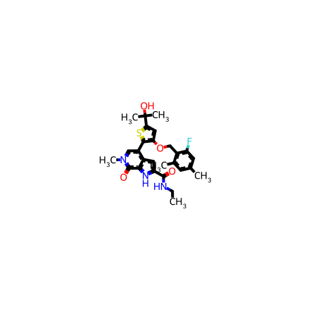 CCNC(=O)c1cc2c(-c3sc(C(C)(C)O)cc3OCc3c(C)cc(C)cc3F)cn(C)c(=O)c2[nH]1